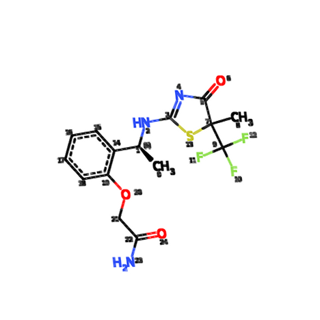 C[C@H](NC1=NC(=O)C(C)(C(F)(F)F)S1)c1ccccc1OCC(N)=O